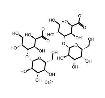 O=C([O-])[C@H](O)[C@@H](O)[C@H](O[C@@H]1O[C@H](CO)[C@H](O)[C@H](O)[C@H]1O)[C@H](O)CO.O=C([O-])[C@H](O)[C@@H](O)[C@H](O[C@@H]1O[C@H](CO)[C@H](O)[C@H](O)[C@H]1O)[C@H](O)CO.[Ca+2]